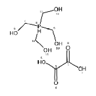 O=C(O)C(=O)O.OC[PH](CO)(CO)CO